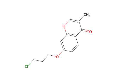 Cc1coc2cc(OCCCCl)ccc2c1=O